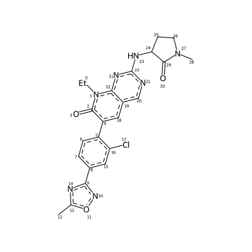 CCn1c(=O)c(-c2ccc(-c3noc(C)n3)cc2Cl)cc2cnc(NC3CCN(C)C3=O)nc21